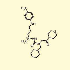 Cc1ccc(NCCC[C@H](C)NC(=O)[C@@H](CC(=O)N2CCSCC2)CC2CCCCC2)cc1